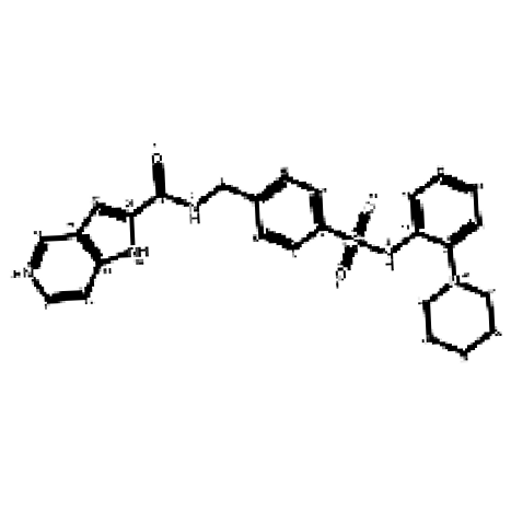 O=C(NCc1ccc(S(=O)(=O)Nc2ccccc2N2CCCCC2)cc1)c1cc2cnccc2[nH]1